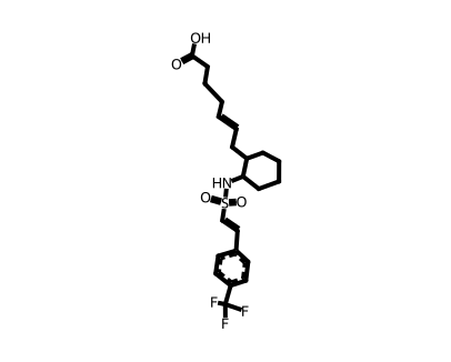 O=C(O)CCCC=CCC1CCCCC1NS(=O)(=O)C=Cc1ccc(C(F)(F)F)cc1